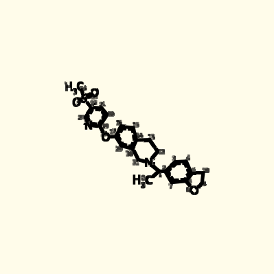 CC(c1ccc2c(c1)OCC2)N1CCc2ccc(Oc3ccc(S(C)(=O)=O)cn3)cc2C1